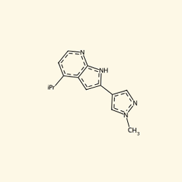 CC(C)c1ccnc2[nH]c(-c3cnn(C)c3)cc12